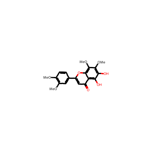 COc1ccc(-c2cc(=O)c3c(O)c(O)c(OC)c(OC)c3o2)cc1OC